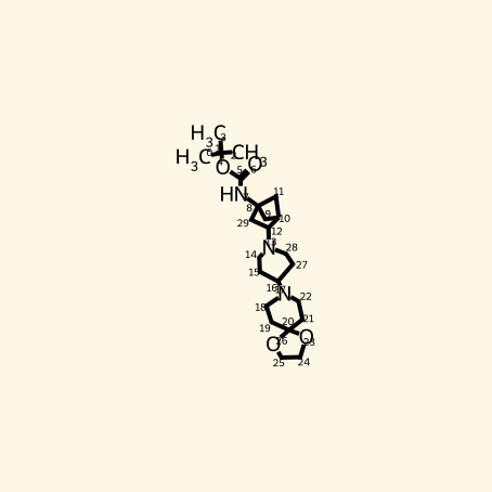 CC(C)(C)OC(=O)NC12CC(C1)C(N1CCC(N3CCC4(CC3)OCCO4)CC1)C2